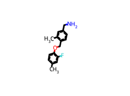 Cc1ccc(OCc2ccc(CN)cc2C)c(F)c1